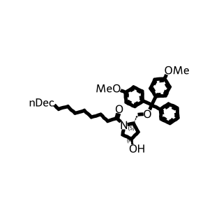 CCCCCCCCCCCCCCCCCC(=O)N1C[C@H](O)C[C@H]1COC(c1ccccc1)(c1ccc(OC)cc1)c1ccc(OC)cc1